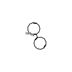 C1=CCCCC(C2=NNCCCC=CCCC2)=CCCCC1